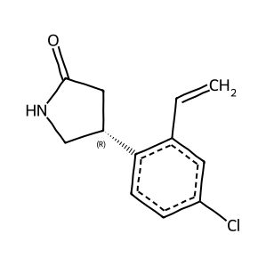 C=Cc1cc(Cl)ccc1[C@@H]1CNC(=O)C1